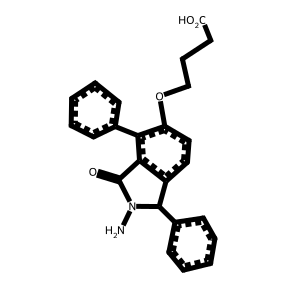 NN1C(=O)c2c(ccc(OCCCC(=O)O)c2-c2ccccc2)C1c1ccccc1